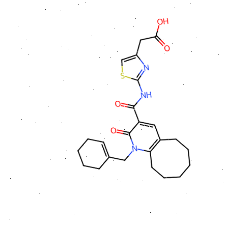 O=C(O)Cc1csc(NC(=O)c2cc3c(n(CC4=CCCCC4)c2=O)CCCCCC3)n1